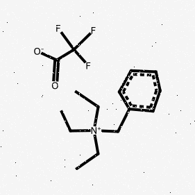 CC[N+](CC)(CC)Cc1ccccc1.O=C([O-])C(F)(F)F